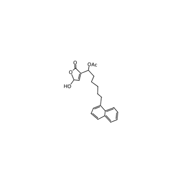 CC(=O)OC(CCCCCc1cccc2ccccc12)C1=CC(O)OC1=O